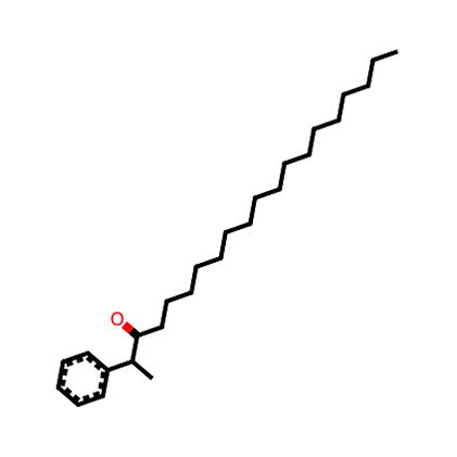 CCCCCCCCCCCCCCCCCC(=O)C(C)c1ccccc1